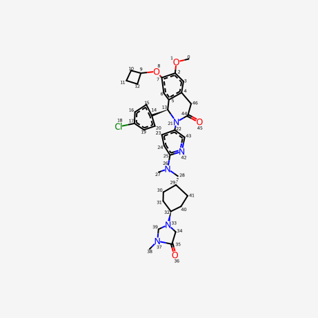 COc1cc2c(cc1OC1CCC1)[C@H](c1ccc(Cl)cc1)N(c1ccc(N(C)C[C@H]3CC[C@H](N4CC(=O)N(C)C4)CC3)nc1)C(=O)C2